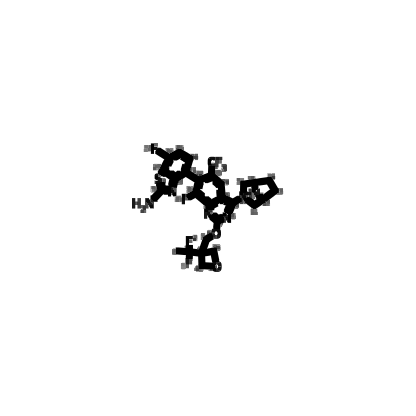 CC(F)(F)C1(COc2nc(N3CC4CCC(C3)N4)c3cc(C(F)(F)F)c(-c4ccc(F)c5sc(N)nc45)c(F)c3n2)COC1